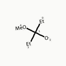 CCC([O])(CC)OC